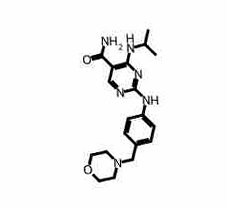 CC(C)Nc1nc(Nc2ccc(CN3CCOCC3)cc2)ncc1C(N)=O